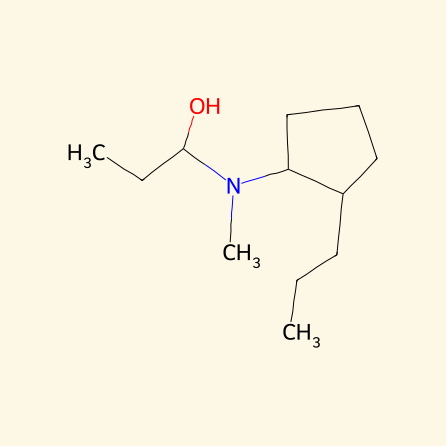 CCCC1CCCC1N(C)C(O)CC